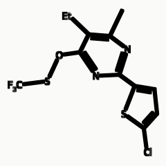 CCc1c(C)nc(-c2ccc(Cl)s2)nc1OSC(F)(F)F